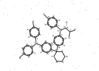 Cc1ccc(N(c2ccc(C)cc2)c2ccc(C3(c4ccc(N(c5ccc(C)cc5)[C@H](C)C(C)C)cc4)CCCCC3)cc2)cc1